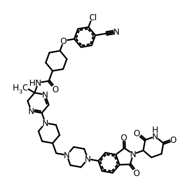 CC1(NC(=O)C2CCC(Oc3ccc(C#N)c(Cl)c3)CC2)CN=C(N2CCC(CN3CCN(c4ccc5c(c4)C(=O)N(C4CCC(=O)NC4=O)C5=O)CC3)CC2)C=N1